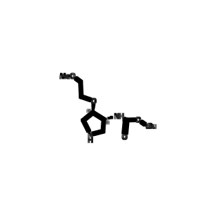 COCCO[C@@H]1CNC[C@H]1NC(=O)OC(C)(C)C